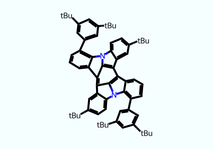 CC(C)(C)c1cc(-c2cccc3c4c5c6cc(C(C)(C)C)ccc6n6c7c(-c8cc(C(C)(C)C)cc(C(C)(C)C)c8)cccc7c(c7c8cc(C(C)(C)C)ccc8n(c23)c74)c56)cc(C(C)(C)C)c1